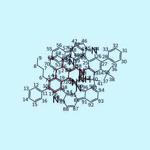 CCCCc1c(CCCC)c(-c2ccccc2)c2c(c1C1=NNN(c3c4c(c(-c5ccccc5)c(C(C)(C)C)c3C(C)(C)C)N=c3ccc5c(c3-4)N=c3ccccc3=5)C(c3ccccc3)=C1c1ccccc1-c1ccccc1-c1ccccc1)-c1c3c(ccc1=N2)=c1ccccc1=N3